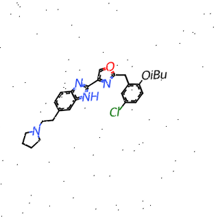 CC(C)COc1ccc(Cl)cc1Cc1nc(-c2nc3ccc(CCN4CCCC4)cc3[nH]2)co1